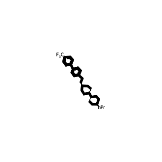 CCC[C@H]1CC[C@H]([C@H]2CC[C@H](CCc3ccc(-c4ccc(C(F)(F)F)cc4)cc3)CC2)CC1